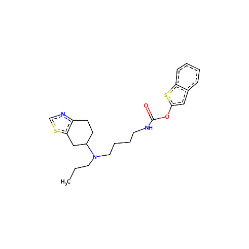 CCCN(CCCCNC(=O)Oc1cc2ccccc2s1)C1CCc2ncsc2C1